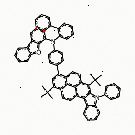 CC(C)(C)c1cc(-c2ccc(N(c3ccccc3-c3ccccc3)c3cccc4c3oc3ccccc34)cc2)c2ccc3c(C(C)(C)C)c4c(c5ccc1c2c35)c1ccccc1n4-c1ccccc1